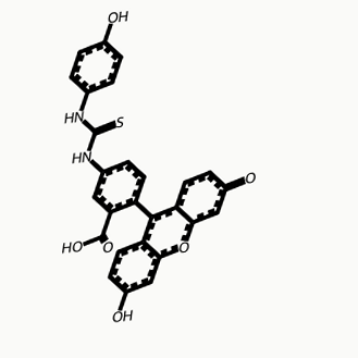 O=C(O)c1cc(NC(=S)Nc2ccc(O)cc2)ccc1-c1c2ccc(=O)cc-2oc2cc(O)ccc12